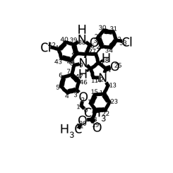 CCOc1cccc(CN2[C@H]3CN(Cc4ccc(C(=O)OC)cc4)C(=O)[C@H]3[C@H](c3cccc(Cl)c3)[C@]23C(=O)Nc2cc(Cl)ccc23)c1